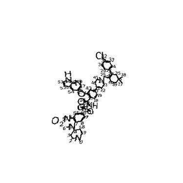 CN1CCC(N(C)c2ccc(S(=O)(=O)NC(=O)c3ccc(C4=CCN(CC5=C(c6ccc(Cl)cc6)CC(C)(C)CC5)CC4)cc3Oc3cnc4[nH]ccc4c3)cc2[N+](=O)[O-])CC1